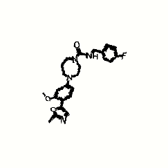 COc1cc(N2CCCN(C(=O)NCc3ccc(F)cc3)CC2)ccc1-c1cnc(C)o1